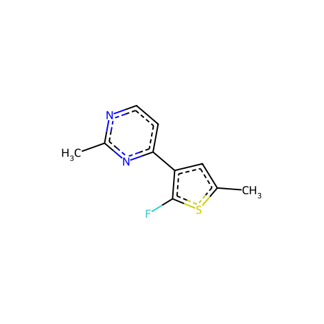 Cc1nccc(-c2cc(C)sc2F)n1